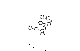 c1ccc(-c2ccc(-n3c4ccccc4c4cc5c6ccc7sc8cccc9c%10ccccc%10c%10ccccc%10n(c5cc43)c6c7c89)cc2)cc1